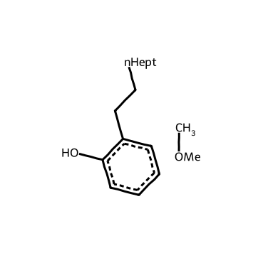 CCCCCCCCCc1ccccc1O.COC